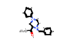 COC(=O)C1CN(c2ccccc2)CCN1Cc1ccccc1